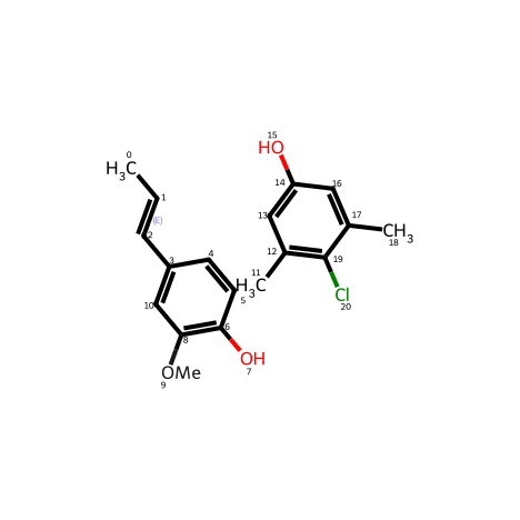 C/C=C/c1ccc(O)c(OC)c1.Cc1cc(O)cc(C)c1Cl